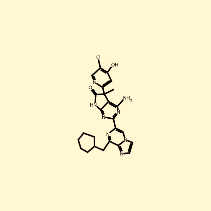 CC1(c2cc(O)c(Cl)cn2)C(=O)Nc2nc(-c3cn4ccnc4c(CC4CCCCC4)n3)nc(N)c21